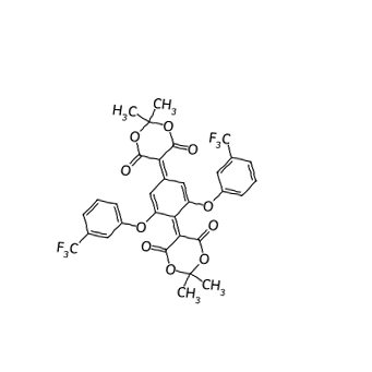 CC1(C)OC(=O)C(=c2cc(Oc3cccc(C(F)(F)F)c3)c(=C3C(=O)OC(C)(C)OC3=O)c(Oc3cccc(C(F)(F)F)c3)c2)C(=O)O1